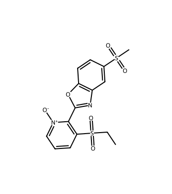 CCS(=O)(=O)c1ccc[n+]([O-])c1-c1nc2cc(S(C)(=O)=O)ccc2o1